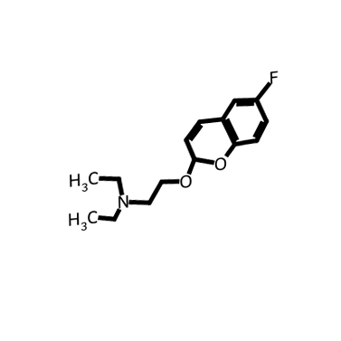 CCN(CC)CCOC1C=Cc2cc(F)ccc2O1